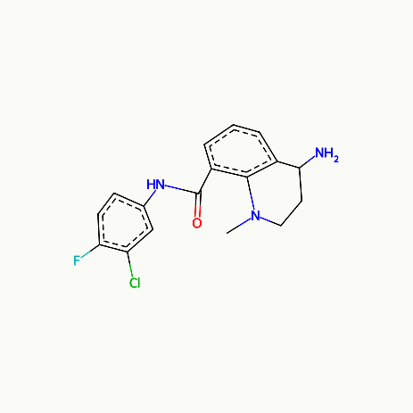 CN1CCC(N)c2cccc(C(=O)Nc3ccc(F)c(Cl)c3)c21